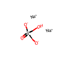 [Na+].[Na+].[O]=[V]([O-])([O-])[OH]